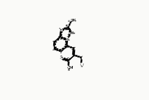 CCC(=Cc1cccc2nc(C)nn12)C(=O)O